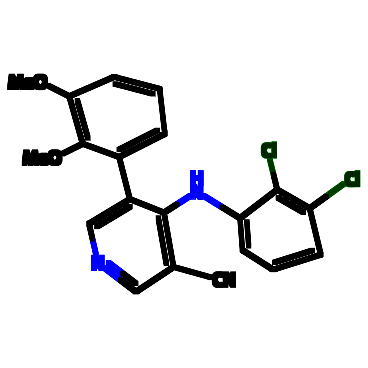 COc1cccc(-c2cncc(C#N)c2Nc2cccc(Cl)c2Cl)c1OC